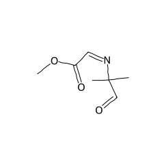 COC(=O)/C=N\C(C)(C)C=O